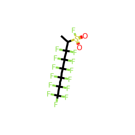 CC(C(F)(F)C(F)(F)C(F)(F)C(F)(F)C(F)(F)C(F)(F)F)S(=O)(=O)F